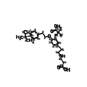 CC(C)(C)c1ccc(CCOc2ccc(CCNCCC(=O)O)cc2)cc1.O=C(O)C(F)(F)F